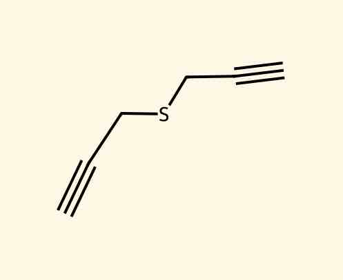 C#CCSCC#C